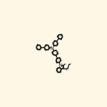 CC/C=C\c1c(C)n(-c2ccc(-c3ccc(N(c4ccc(-c5ccccc5)cc4)c4ccc(-c5ccccc5)cc4)cc3)cc2)c2ccccc12